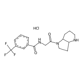 Cl.O=C(NCC(=O)N1CCC2NCCCC21)c1cccc(C(F)(F)F)c1